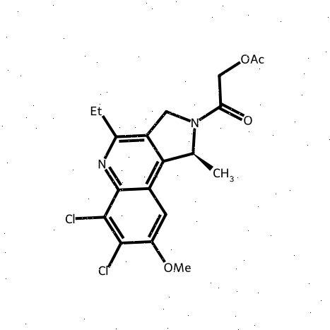 CCc1nc2c(Cl)c(Cl)c(OC)cc2c2c1CN(C(=O)COC(C)=O)[C@H]2C